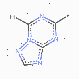 CCc1nc(C)nc2ncnn12